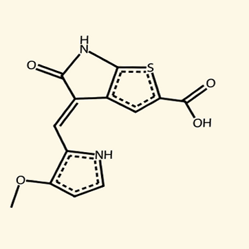 COc1cc[nH]c1/C=C1/C(=O)Nc2sc(C(=O)O)cc21